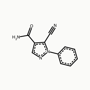 N#Cc1c(C(N)=O)cnn1-c1ccccc1